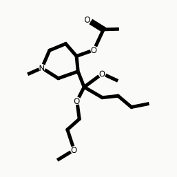 CCCCC(OC)(OCCOC)C1CN(C)CCC1OC(C)=O